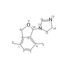 Cc1ccc(C)c2c1COC2N1C=NCC1